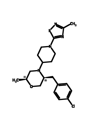 Cc1nsc(N2CCC(N3C[C@H](C)OC[C@@H]3Cc3ccc(Cl)cc3)CC2)n1